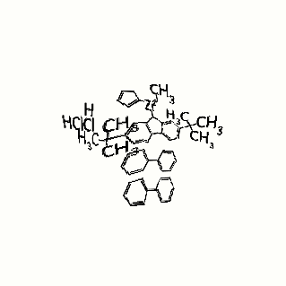 C/[CH]=[Zr](\[C]1=CC=CC1)[CH]1c2cc(C(C)(C)C)ccc2-c2ccc(C(C)(C)C)cc21.Cl.Cl.c1ccc(-c2ccccc2)cc1.c1ccc(-c2ccccc2)cc1